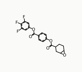 O=C(Oc1cc(F)c(F)c(F)c1)c1ccc(OC(=O)C2CCC3OC3C2)cc1